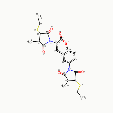 CCSC1C(=O)N(c2ccc3oc(=O)c(N4C(=O)C(C)C(SCC)C4=O)cc3c2)C(=O)C1C